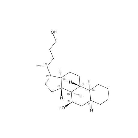 C[C@H](CCCO)[C@H]1CC[C@H]2[C@@H]3[C@H](O)C[C@@H]4CCCC[C@]4(C)[C@H]3CC[C@]12C